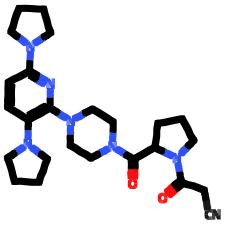 N#CCC(=O)N1CCCC1C(=O)N1CCN(c2nc(N3CCCC3)ccc2N2CCCC2)CC1